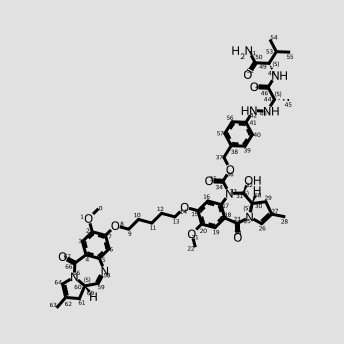 COc1cc2c(cc1OCCCCCOc1cc3c(cc1OC)C(=O)N1C=C(C)C[C@H]1[C@H](O)N3C(=O)OCc1ccc(NN[C@@H](C)C(=O)N[C@H](C(N)=O)C(C)C)cc1)N=C[C@@H]1CC(C)=CN1C2=O